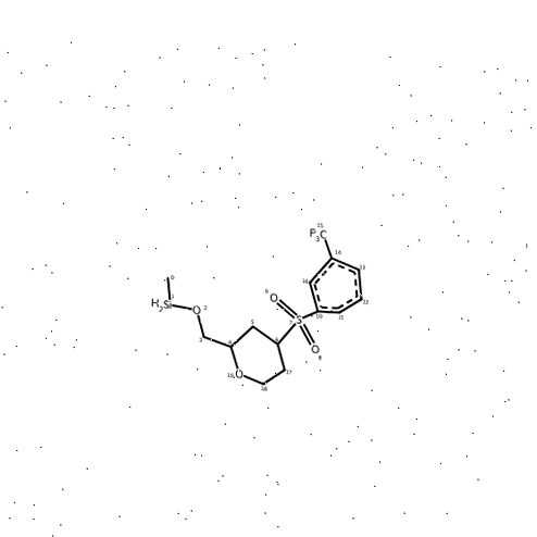 C[SiH2]OCC1CC(S(=O)(=O)c2cccc(C(F)(F)F)c2)CCO1